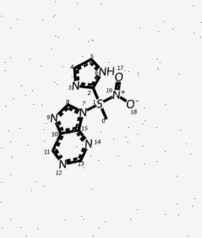 CS(c1ncc[nH]1)(n1cnc2cncnc21)[N+](=O)[O-]